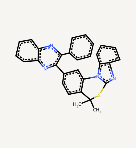 CC1(C)Sc2nc3ccccc3n2-c2cc(-c3nc4ccccc4nc3-c3ccccc3)ccc21